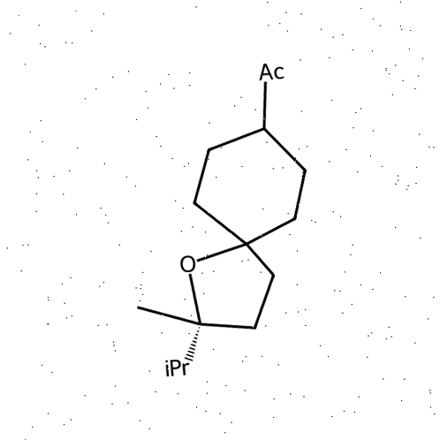 CC(=O)C1CCC2(CC1)CC[C@](C)(C(C)C)O2